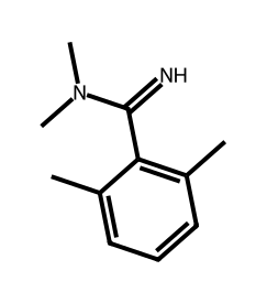 Cc1cccc(C)c1C(=N)N(C)C